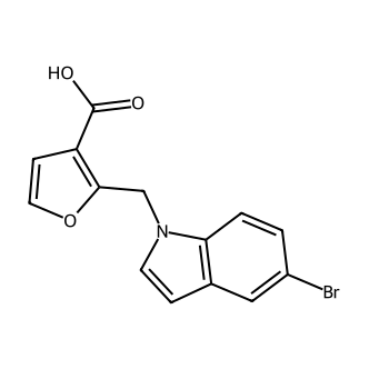 O=C(O)c1ccoc1Cn1ccc2cc(Br)ccc21